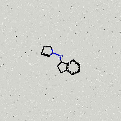 C1=CN(NC2CCc3ccccc32)CC1